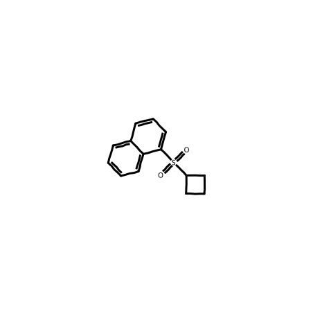 O=S(=O)(c1cccc2ccccc12)C1CCC1